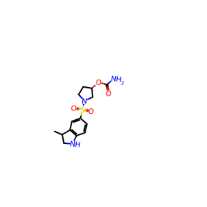 CC1CNc2ccc(S(=O)(=O)N3CC[C@@H](OC(N)=O)C3)cc21